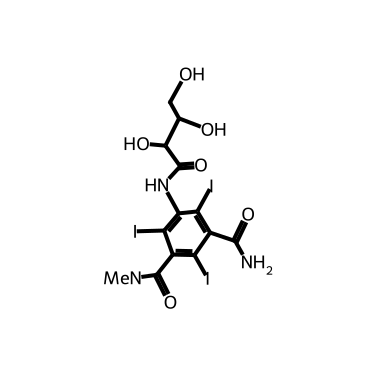 CNC(=O)c1c(I)c(NC(=O)C(O)C(O)CO)c(I)c(C(N)=O)c1I